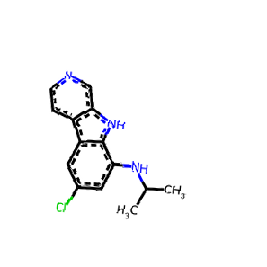 CC(C)Nc1cc(Cl)cc2c1[nH]c1cnccc12